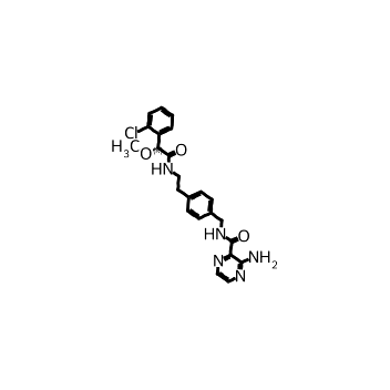 CO[C@@H](C(=O)NCCc1ccc(CNC(=O)c2nccnc2N)cc1)c1ccccc1Cl